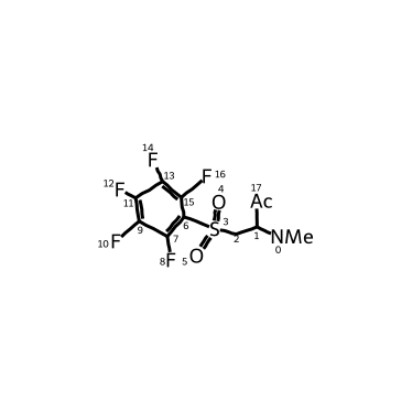 CNC(CS(=O)(=O)c1c(F)c(F)c(F)c(F)c1F)C(C)=O